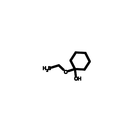 BCOC1(O)CCCCC1